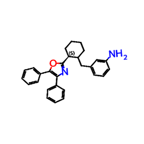 Nc1cccc(CC2CCCC[C@@H]2c2nc(-c3ccccc3)c(-c3ccccc3)o2)c1